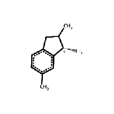 Cc1ccc2c(c1)[C@@H](N)C(C)C2